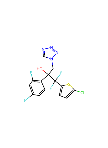 OC(Cn1cnnn1)(c1ccc(F)cc1F)C(F)(F)c1ccc(Cl)s1